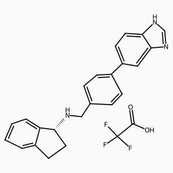 O=C(O)C(F)(F)F.c1ccc2c(c1)CC[C@H]2NCc1ccc(-c2ccc3[nH]cnc3c2)cc1